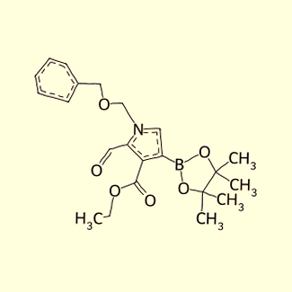 CCOC(=O)c1c(B2OC(C)(C)C(C)(C)O2)cn(COCc2ccccc2)c1C=O